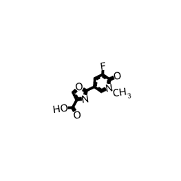 Cn1cc(-c2nc(C(=O)O)co2)cc(F)c1=O